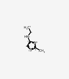 CCNc1csc(C)n1